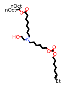 CCC=CCCCCCOC(=O)OCCCCCCN(CCO)CCCCCCCC(=O)OC(CCCCCCCC)CCCCCCCC